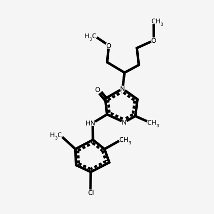 COCCC(COC)n1cc(C)nc(Nc2c(C)cc(Cl)cc2C)c1=O